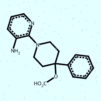 Nc1cccnc1N1CCC(OC(=O)O)(c2ccccc2)CC1